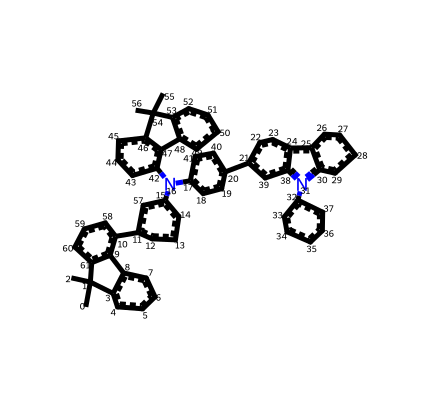 CC1(C)c2ccccc2-c2c(-c3cccc(N(c4ccc(-c5ccc6c7ccccc7n(-c7ccccc7)c6c5)cc4)c4cccc5c4-c4ccccc4C5(C)C)c3)cccc21